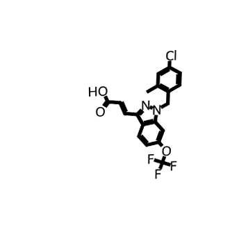 Cc1cc(Cl)ccc1Cn1nc(/C=C/C(=O)O)c2ccc(OC(F)(F)F)cc21